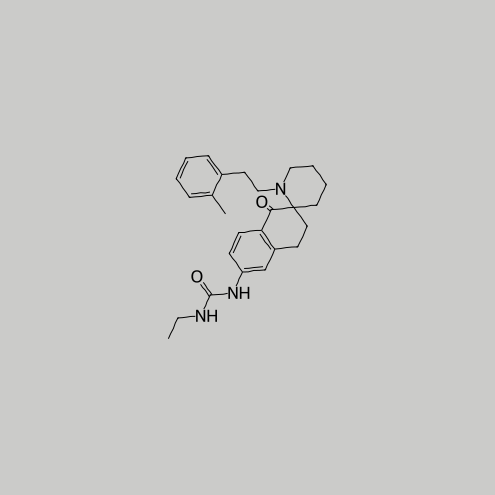 CCNC(=O)Nc1ccc2c(c1)CCC1(CCCCN1CCc1ccccc1C)C2=O